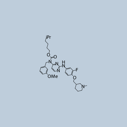 COc1cccc(CN(C(=O)OCCCCC(C)C)c2ccnc(Nc3ccc(OCC4CCCN(C)C4)c(F)c3)n2)c1